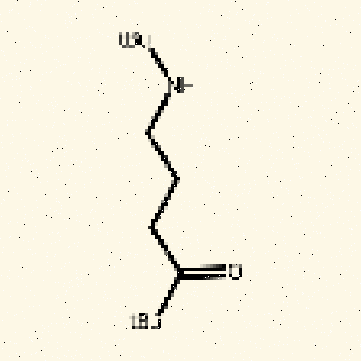 CC(C)(C)NCCCC(=O)C(C)(C)C